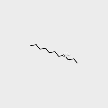 CCCCCCC[SiH]CCC